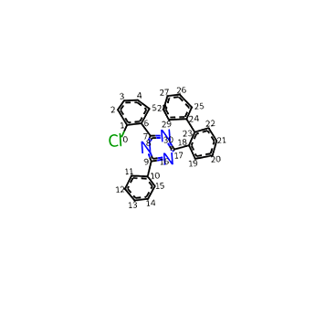 Clc1ccccc1-c1nc(-c2ccccc2)nc(-c2ccccc2-c2ccccc2)n1